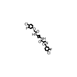 O=C(COc1ccc(Cl)c(F)c1)NC12CC(NC(=O)c3cnc(-c4ccc(Cl)c(F)c4)o3)(C1)C2